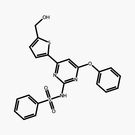 O=S(=O)(Nc1nc(Oc2ccccc2)cc(-c2ccc(CO)s2)n1)c1ccccc1